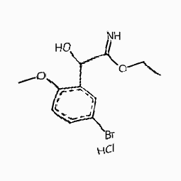 CCOC(=N)C(O)c1cc(Br)ccc1OC.Cl